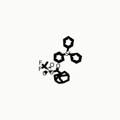 CC(F)(F)S(=O)(=O)OC(=O)C12CC3CC(CC(C3)C1)C2.c1ccc([S+](c2ccccc2)c2ccccc2)cc1